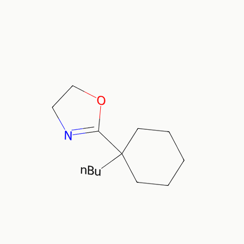 CCCCC1(C2=NCCO2)CCCCC1